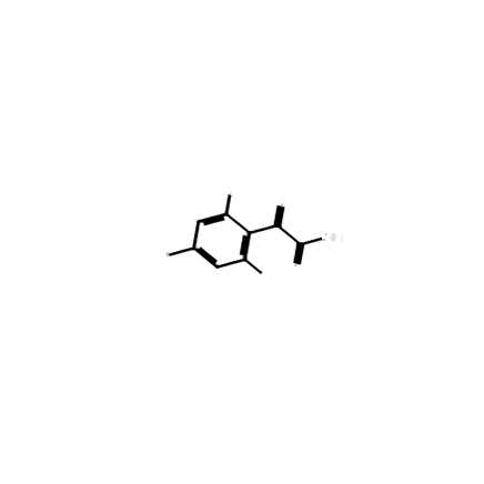 NC(=O)C(=O)c1c(Cl)cc(Cl)cc1Cl